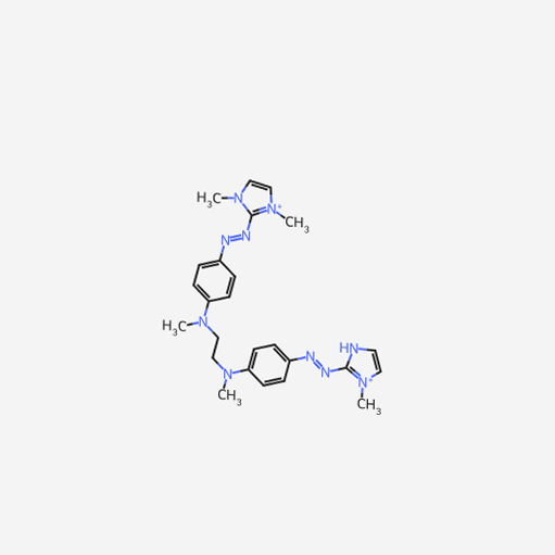 CN(CCN(C)c1ccc(/N=N/c2n(C)cc[n+]2C)cc1)c1ccc(/N=N/c2[nH]cc[n+]2C)cc1